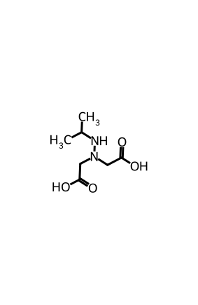 CC(C)NN(CC(=O)O)CC(=O)O